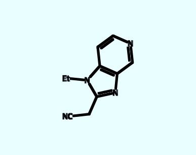 CCn1c(CC#N)nc2cnccc21